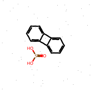 O=S(O)O.c1ccc2c(c1)-c1ccccc1-2